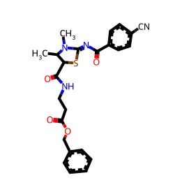 CC1C(C(=O)NCCC(=O)OCc2ccccc2)SC(=NC(=O)c2ccc(C#N)cc2)N1C